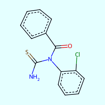 NC(=S)N(C(=O)c1ccccc1)c1ccccc1Cl